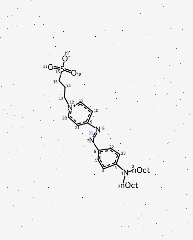 CCCCCCCCN(CCCCCCCC)c1ccc(/N=N/c2cc[n+](CCCS(=O)(=O)[O-])cc2)cc1